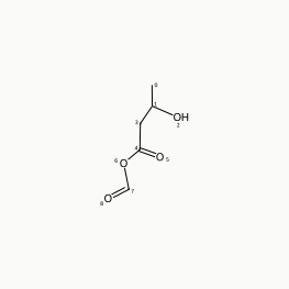 CC(O)CC(=O)OC=O